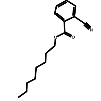 CCCCCCCCOC(=O)c1ccccc1C#N